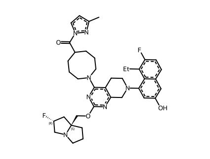 CCc1c(F)ccc2cc(O)cc(N3CCc4c(nc(OC[C@@]56CCCN5C[C@H](F)C6)nc4N4CCCC(C(=O)n5ccc(C)n5)CCC4)C3)c12